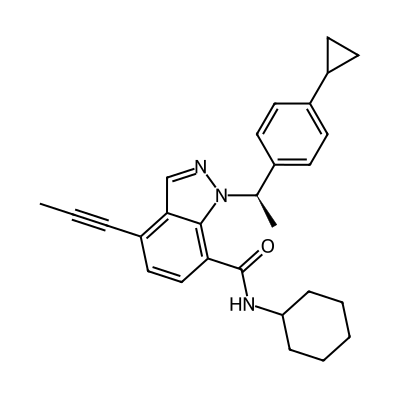 CC#Cc1ccc(C(=O)NC2CCCCC2)c2c1cnn2[C@H](C)c1ccc(C2CC2)cc1